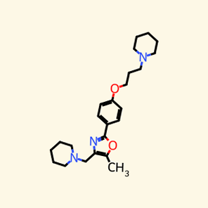 Cc1oc(-c2ccc(OCCCN3CCCCC3)cc2)nc1CN1CCCCC1